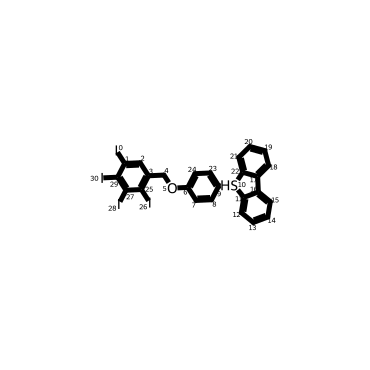 Ic1cc(COc2ccc([SH]3c4ccccc4-c4ccccc43)cc2)c(I)c(I)c1I